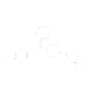 Cc1ccc(S(=O)(=O)n2c3c(c4ccc(Br)cc42)CN(C(=O)OC(C)(C)C)CC3)cc1